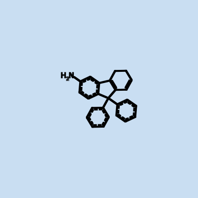 Nc1ccc2c(c1)C1=C(C=CCC1)C2(c1ccccc1)c1ccccc1